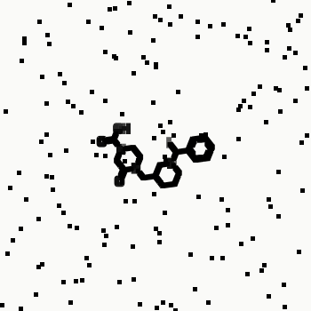 O=C(O)N1CCN(CC2CCCN(C(I)c3ccccc3)C2)C(=O)C1